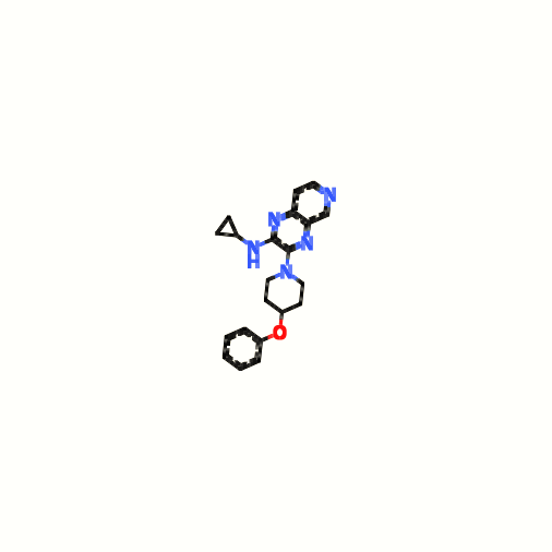 c1ccc(OC2CCN(c3nc4cnccc4nc3NC3CC3)CC2)cc1